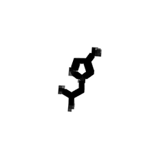 CCc1cnn(CC(F)F)c1